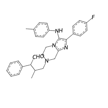 Cc1ccc(Nc2c(-c3ccc(F)cc3)nc3n2CCN(CC(C)C(C=O)c2ccccc2)C3)cc1